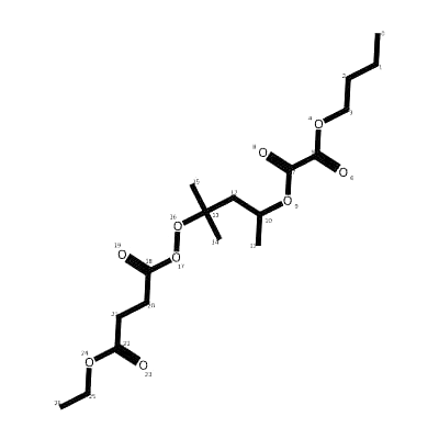 CCCCOC(=O)C(=O)OC(C)CC(C)(C)OOC(=O)CCC(=O)OCC